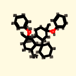 CC(C)C1CCC(C)(Oc2ccccc2)CC1C1(C2CC(C)(Oc3ccccc3)CCC2C(C)C)CCCCC1